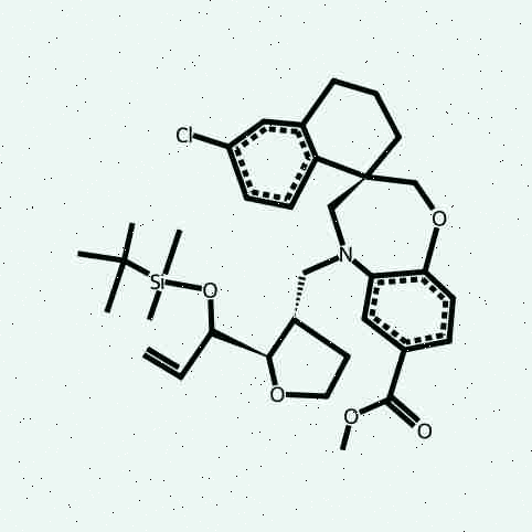 C=CC(O[Si](C)(C)C(C)(C)C)[C@@H]1OCC[C@H]1CN1C[C@@]2(CCCc3cc(Cl)ccc32)COc2ccc(C(=O)OC)cc21